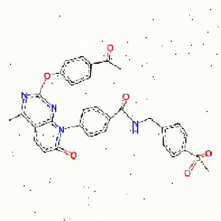 CC(=O)c1ccc(Oc2nc(C)c3ccc(=O)n(-c4ccc(C(=O)NCc5ccc(S(C)(=O)=O)cc5)cc4)c3n2)cc1